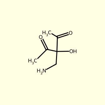 CC(=O)C(O)(CN)C(C)=O